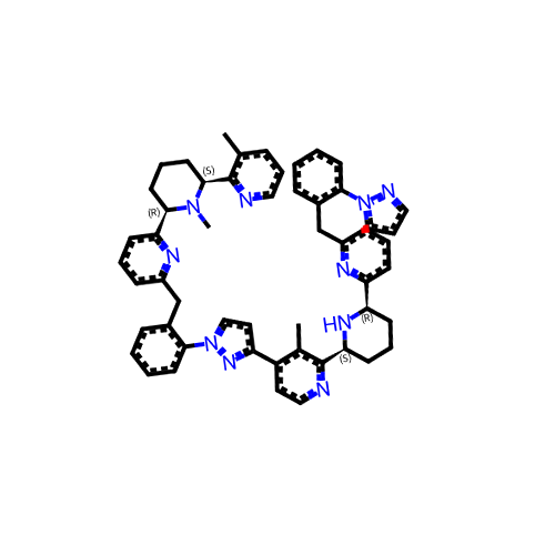 Cc1cccnc1[C@@H]1CCC[C@H](c2cccc(Cc3ccccc3-n3ccc(-c4ccnc([C@@H]5CCC[C@H](c6cccc(Cc7ccccc7-n7cccn7)n6)N5)c4C)n3)n2)N1C